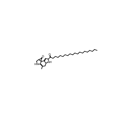 CCCCCCCCCCCCCCCCCCCC(=O)C1C=C2C(CC(C)=C3NCC4C(=O)C234)N1